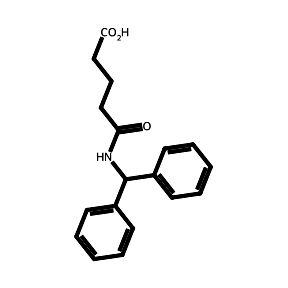 O=C(O)CCCC(=O)NC(c1ccccc1)c1ccccc1